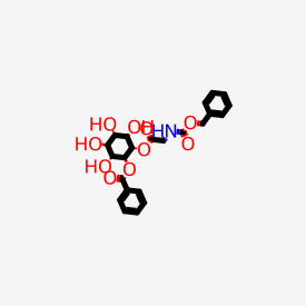 O=C(CNC(=O)OCc1ccccc1)O[C@H]1[C@H](O)[C@@H](O)[C@H](O)[C@@H](O)[C@@H]1OC(=O)c1ccccc1